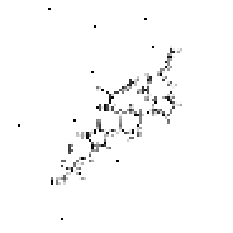 CC(C#N)Nc1cc(-c2ccc3cc(C#N)cnn23)ncc1-c1cn(C[C@@H](F)C(C)(C)O)nn1